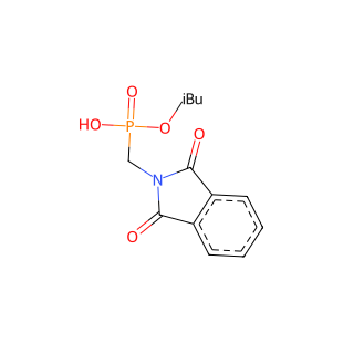 CCC(C)OP(=O)(O)CN1C(=O)c2ccccc2C1=O